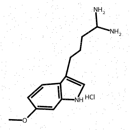 COc1ccc2c(CCCC(N)N)c[nH]c2c1.Cl